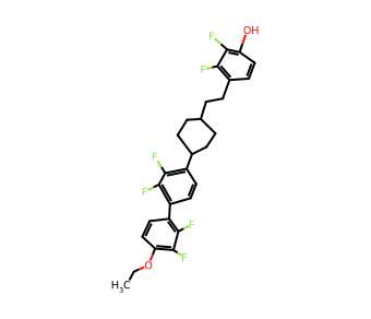 CCOc1ccc(-c2ccc(C3CCC(CCc4ccc(O)c(F)c4F)CC3)c(F)c2F)c(F)c1F